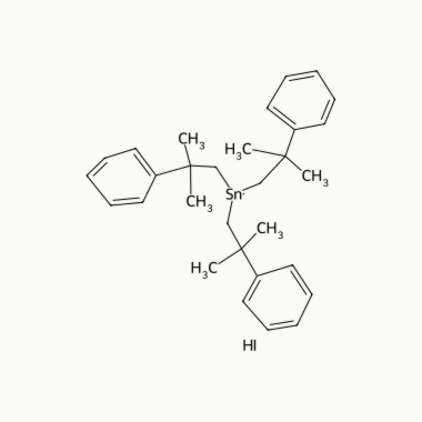 CC(C)([CH2][Sn]([CH2]C(C)(C)c1ccccc1)[CH2]C(C)(C)c1ccccc1)c1ccccc1.I